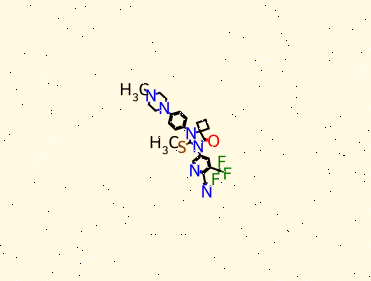 CSC1N(c2cnc(C#N)c(C(F)(F)F)c2)C(=O)C2(CCC2)N1c1ccc(N2CCN(C)CC2)cc1